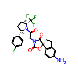 Nc1ccc2c(c1)CC[C@@]21OC(=O)N(CC(=O)N2[C@H](c3ccc(F)cc3)CC[C@@H]2C(F)(F)F)C1=O